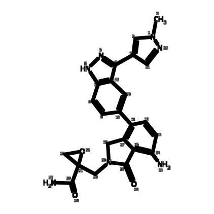 Cn1cc(-c2n[nH]c3ccc(-c4ccc(N)c5c4CN(CC4(C(N)=O)CO4)C5=O)cc23)cn1